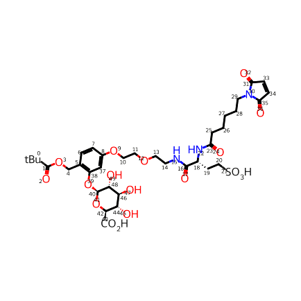 CC(C)(C)C(=O)OCc1ccc(OCCOCCNC(=O)[C@@H](CCS(=O)(=O)O)NC(=O)CCCCCN2C(=O)C=CC2=O)cc1O[C@@H]1O[C@H](C(=O)O)[C@@H](O)[C@H](O)[C@H]1O